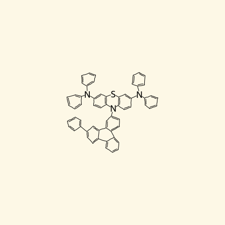 c1ccc(-c2ccc3c4ccccc4c4ccc(N5c6ccc(N(c7ccccc7)c7ccccc7)cc6Sc6cc(N(c7ccccc7)c7ccccc7)ccc65)cc4c3c2)cc1